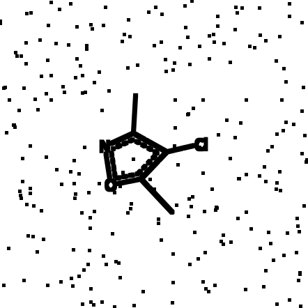 Cc1noc(C)c1Cl